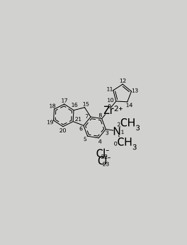 CN(C)c1ccc2c([c]1[Zr+2][C]1=CC=CC1)Cc1ccccc1-2.[Cl-].[Cl-]